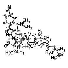 CC(C)C1=C2[C@H]3CCC4[C@@]5(C)CC[C@H](OC(=O)CC(C)(C)C(=O)O)C(C)(C)C5CC[C@@]4(C)[C@]3(C)CC[C@@]2(c2nnc(-c3ccc(C#N)cc3)n2CCN(C)C)CC1=O